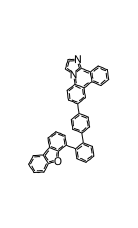 c1ccc(-c2cccc3c2oc2ccccc23)c(-c2ccc(-c3ccc4c(c3)c3ccccc3c3nccn43)cc2)c1